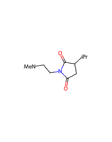 CNCCN1C(=O)CC(C(C)C)C1=O